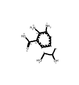 CC(O)CO.Nc1cccc(C(=O)O)c1N